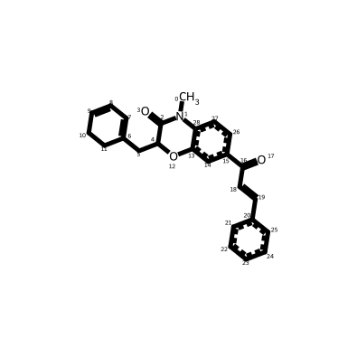 CN1C(=O)C(CC2=CC=CCC2)Oc2cc(C(=O)C=Cc3ccccc3)ccc21